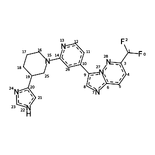 FC(F)c1ccc2ncc(-c3ccnc(N4CCCC(c5c[nH]cn5)C4)c3)n2n1